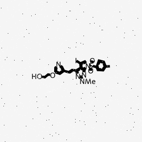 CNc1nc(/C=C/c2cncc(OCCO)c2)c2c(I)cn(S(=O)(=O)c3ccc(C)cc3)c2n1